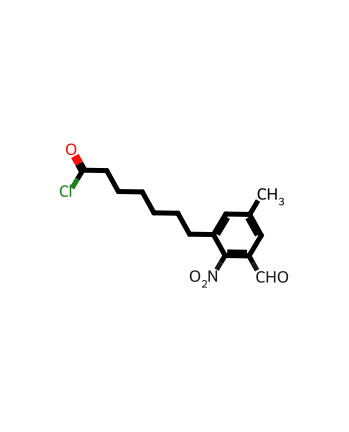 Cc1cc(C=O)c([N+](=O)[O-])c(CCCCCCC(=O)Cl)c1